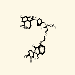 CN(Cc1ccc(-c2[nH]c3cc(F)cc4c3c2CCNC4=O)cc1)C(=O)CCOCCSc1cccc2c1C(=O)N(C1CCC(=O)NC1=O)C2=O